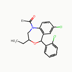 CCC(=O)N1CC(CC(=O)O)OC(c2ccccc2Cl)c2cc(Cl)ccc21